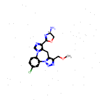 COCc1nnn2c1Cc1c(C3=N[C@@H](N)CO3)ncn1-c1ccc(Cl)cc1-2